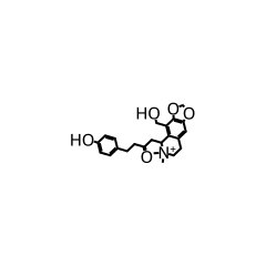 C[N+]1(C)CCc2cc3c(c(CO)c2C1CC(=O)CCc1ccc(O)cc1)OCO3